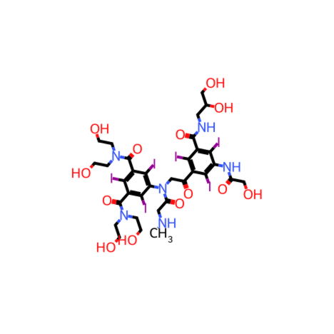 CNCC(=O)N(CC(=O)c1c(I)c(NC(=O)CO)c(I)c(C(=O)NCC(O)CO)c1I)c1c(I)c(C(=O)N(CCO)CCO)c(I)c(C(=O)N(CCO)CCO)c1I